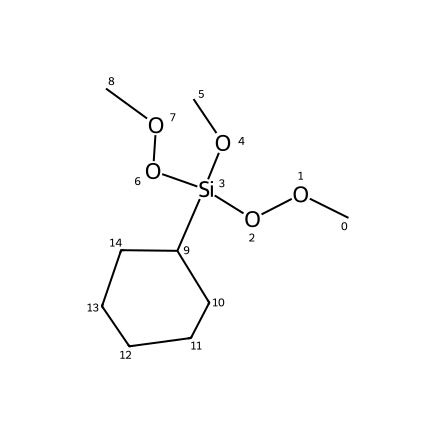 COO[Si](OC)(OOC)C1CCCCC1